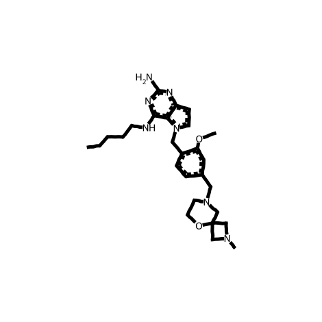 CCCCCNc1nc(N)nc2ccn(Cc3ccc(CN4CCOC5(CN(C)C5)C4)cc3OC)c12